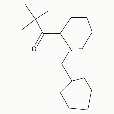 CC(C)(C)C(=O)C1CCCCN1CC1CCCCC1